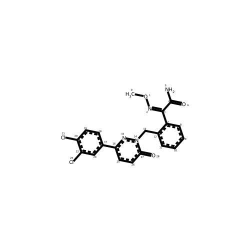 CON=C(C(N)=O)c1ccccc1Cn1nc(-c2ccc(Cl)c(Cl)c2)ccc1=O